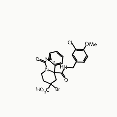 COc1ccc(CNC(=O)C2(c3ccccc3)CC(Br)(C(=O)O)CCN2C(N)=O)cc1Cl